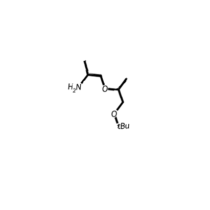 CC(N)COC(C)COC(C)(C)C